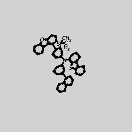 C[Si]1(C)c2cc(N(c3cccc(-c4cccc5ccccc45)c3)c3cccc4c3sc3ccccc34)ccc2-c2c1ccc1oc3ccccc3c21